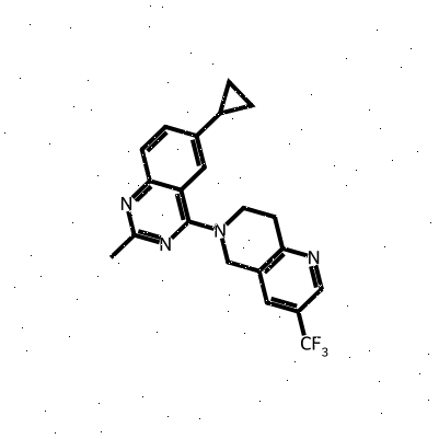 Cc1nc(N2CCc3ncc(C(F)(F)F)cc3C2)c2cc(C3CC3)ccc2n1